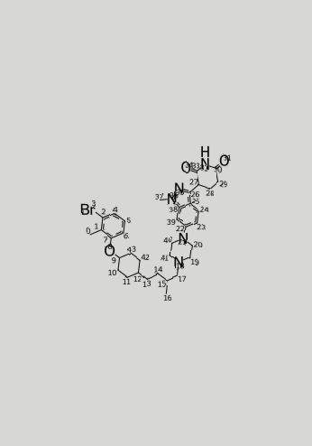 Cc1c(Br)cccc1OC1CCC(CCC(C)CN2CCN(c3ccc4c(C5CCC(=O)NC5=O)nn(C)c4c3)CC2)CC1